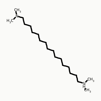 CN(C)CCCCCCCCCCCCCCCC[SiH](C)C